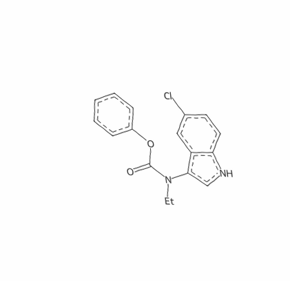 CCN(C(=O)Oc1ccccc1)c1c[nH]c2ccc(Cl)cc12